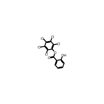 O=C(Oc1c(Cl)c(Cl)c(Cl)c(Cl)c1Cl)c1ccccc1O